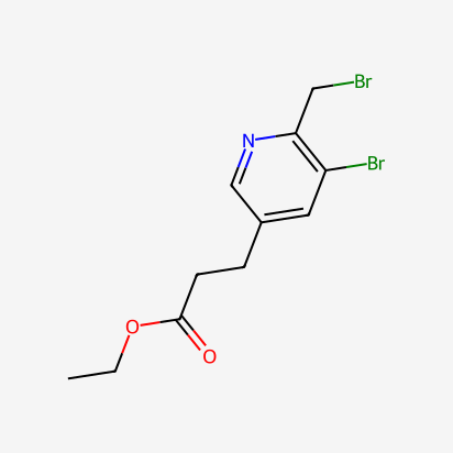 CCOC(=O)CCc1cnc(CBr)c(Br)c1